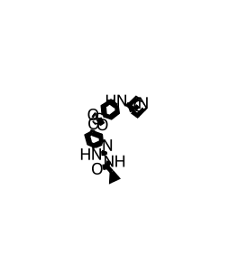 O=C(Nc1nc2cc(OS(=O)(=O)c3ccc(NC4CN5CCC4CC5)cc3)ccc2[nH]1)C1CC1